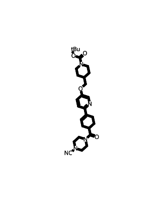 CC(C)(C)OC(=O)N1CCC(COc2ccc(C3=CCC(C(=O)N4CCN(C#N)CC4)CC3)nc2)CC1